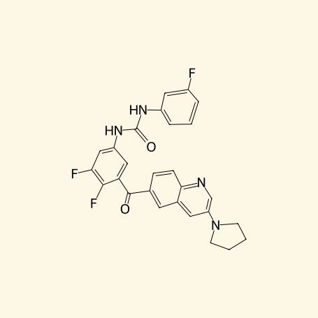 O=C(Nc1cccc(F)c1)Nc1cc(F)c(F)c(C(=O)c2ccc3ncc(N4CCCC4)cc3c2)c1